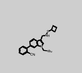 CC(C)(C)Cn1cc(CNSC2CCC2)c2ccc(-c3ccccc3C#N)cc21